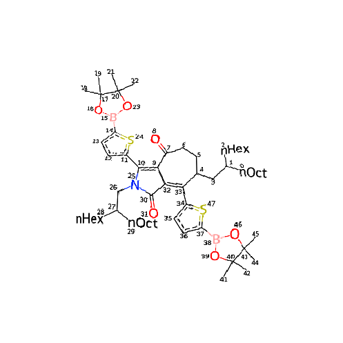 CCCCCCCCC(CCCCCC)CC1CCC(=O)C2=C(c3ccc(B4OC(C)(C)C(C)(C)O4)s3)N(CC(CCCCCC)CCCCCCCC)C(=O)C2=C1c1ccc(B2OC(C)(C)C(C)(C)O2)s1